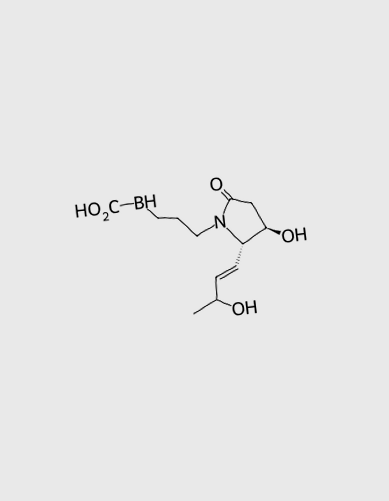 CC(O)/C=C/[C@H]1[C@H](O)CC(=O)N1CCCBC(=O)O